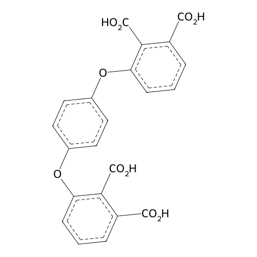 O=C(O)c1cccc(Oc2ccc(Oc3cccc(C(=O)O)c3C(=O)O)cc2)c1C(=O)O